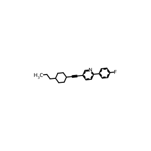 CCCC1CCC(C#Cc2ccc(-c3ccc(F)cc3)nc2)CC1